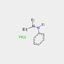 CC[N](c1ccccc1)[Al]([CH2]C)[CH2]C.Cl